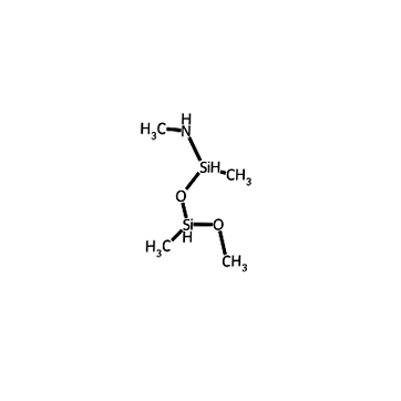 CN[SiH](C)O[SiH](C)OC